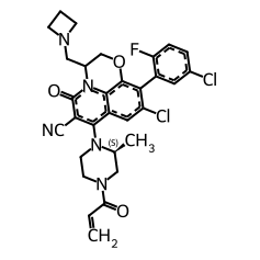 C=CC(=O)N1CCN(c2c(C#N)c(=O)n3c4c(c(-c5cc(Cl)ccc5F)c(Cl)cc24)OCC3CN2CCC2)[C@@H](C)C1